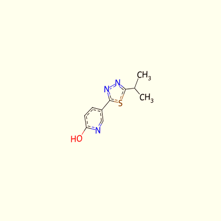 CC(C)c1nnc(-c2ccc(O)nc2)s1